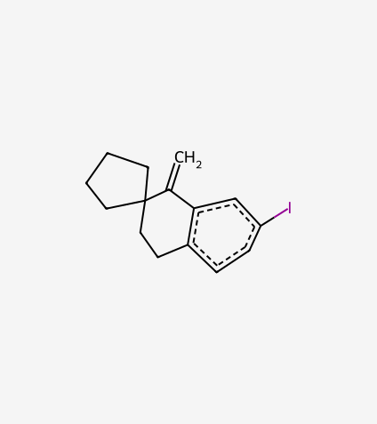 C=C1c2cc(I)ccc2CCC12CCCC2